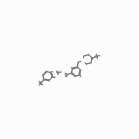 O=C(Nc1nc2ccc(C(F)(F)F)cc2s1)c1cc(Cl)cc(CN2CCC(C(F)(F)F)CC2)c1O